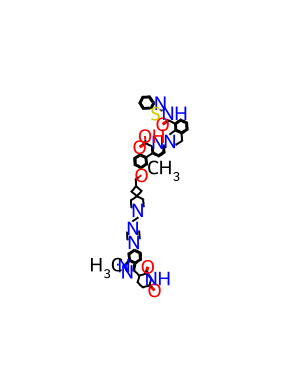 Cc1c(OCC2CC3(CCN(CCN4CCN(c5ccc6c(C7CCC(=O)NC7=O)nn(C)c6c5)CC4)CC3)C2)cccc1-c1ccc(N2CCc3cccc(C(=O)Nc4nc5ccccc5s4)c3C2)nc1C(=O)O